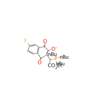 CCCC[P+](CCCC)(CCCC)C(C(=O)OCC)C1=C([O-])C(=O)c2cc(F)ccc2C1=O